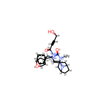 CC(C)N1C(=O)N(CC2CCOCC2)CC12CC1CCC(C2)N1CC[C@H](NC(=O)C#CCO)c1ccccc1